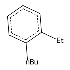 CCCCc1[c]cccc1CC